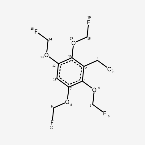 [O]Cc1c(OCF)c(OCF)cc(OCF)c1OCF